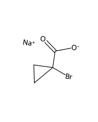 O=C([O-])C1(Br)CC1.[Na+]